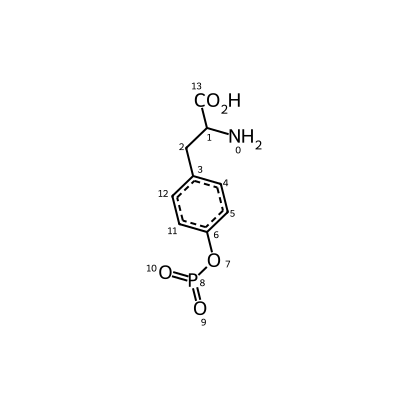 NC(Cc1ccc(OP(=O)=O)cc1)C(=O)O